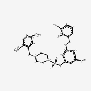 COc1cc(NS(=O)(=O)N2CCN(Cc3cc(O)ccc3[N+](=O)[O-])CC2)nc(SCc2cccc(F)c2F)n1